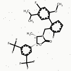 COc1cc(F)c(C(C)C)cc1-c1cccc(F)c1CN1C(=O)O[C@H](c2cc(C(F)(F)F)cc(C(F)(F)F)c2)[C@@H]1C